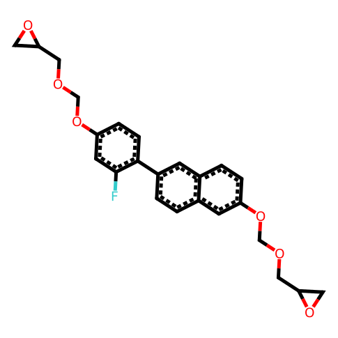 Fc1cc(OCOCC2CO2)ccc1-c1ccc2cc(OCOCC3CO3)ccc2c1